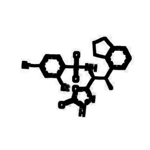 CCc1cc(Br)ccc1S(=O)(=O)N[C@H](c1n[nH]c(=O)o1)[C@H](C)c1cccc2c1CCC2